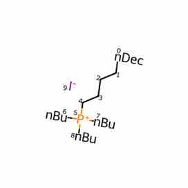 CCCCCCCCCCCCCC[P+](CCCC)(CCCC)CCCC.[I-]